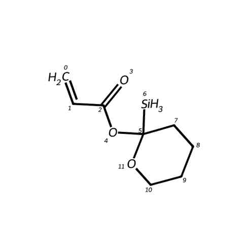 C=CC(=O)OC1([SiH3])CCCCO1